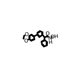 O=C(NO)C(c1ccccc1)c1cccc(-c2ccc3c(c2)OCCO3)c1